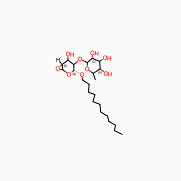 CCCCCCCCCCCCO[C@@H]1OC2O[C@@H]2C(O)C1OC1OC(C)[C@H](O)C(O)[C@@H]1O